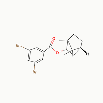 CC1(C)[C@@H]2CC[C@]1(C)[C@@H](OC(=O)c1cc(Br)cc(Br)c1)C2